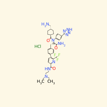 CCN(CC)CCNC(=O)c1ccc(-c2ccc(C[C@@H](C(N)=O)N(c3ccc(-c4nn[nH]n4)cc3)C(=O)[C@H]3CC[C@H](CN)CC3)cc2)c(C(F)(F)F)n1.Cl